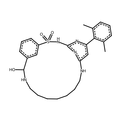 Cc1cccc(C)c1-c1cc2nc(n1)NS(=O)(=O)c1cccc(c1)C(O)NCCCCCCCN2